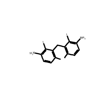 Cc1ccc(N)c(I)c1Cc1c(C)ccc(N)c1I